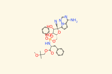 COC(C)(C)COC(=O)[C@H](Cc1ccccc1)N[P@@](=O)(OC[C@H]1O[C@@](C#N)(c2ccc3c(N)ncnn23)[C@H](O)[C@@H]1O)Oc1ccccc1